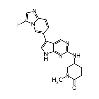 CN1CC(Nc2ncc3c(-c4ccc5ncc(F)n5c4)c[nH]c3n2)CCC1=O